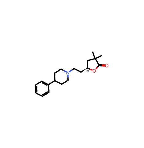 CC1(C)C[C@H](CCN2CCC(c3ccccc3)CC2)OC1=O